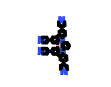 c1cc2c3c(c1)-n1c4ccc(-c5ccncc5)cc4c4cc(-c5ccncc5)cc(c41)B3c1cc(-c3ccncc3)cc3c4cc(-c5ccncc5)ccc4n-2c13